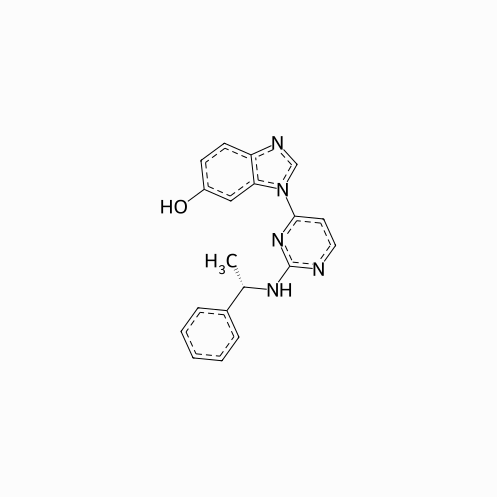 C[C@H](Nc1nccc(-n2cnc3ccc(O)cc32)n1)c1ccccc1